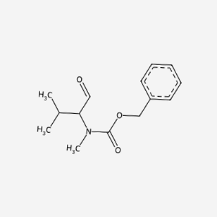 CC(C)C(C=O)N(C)C(=O)OCc1ccccc1